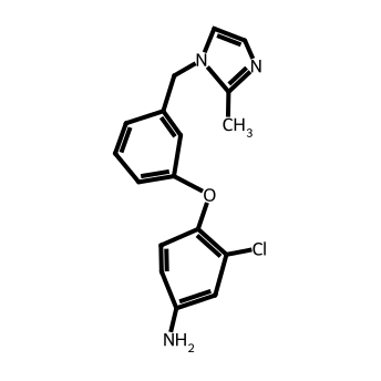 Cc1nccn1Cc1cccc(Oc2ccc(N)cc2Cl)c1